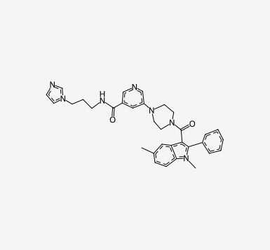 Cc1ccc2c(c1)c(C(=O)N1CCN(c3cncc(C(=O)NCCCn4ccnc4)c3)CC1)c(-c1ccccc1)n2C